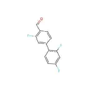 O=Cc1ccc(-c2ccc(F)cc2F)cc1F